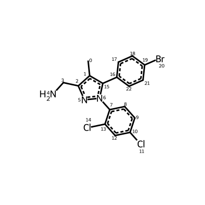 Cc1c(CN)nn(-c2ccc(Cl)cc2Cl)c1-c1ccc(Br)cc1